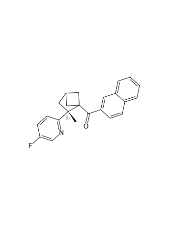 C[C@@]1(c2ccc(F)cn2)CC2CC1(C(=O)c1ccc3ccccc3c1)C2